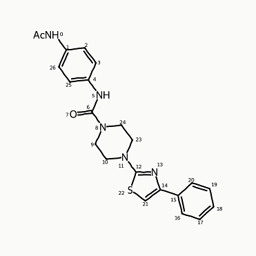 CC(=O)Nc1ccc(NC(=O)N2CCN(c3nc(-c4ccccc4)cs3)CC2)cc1